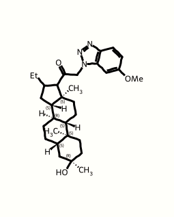 CCC1C[C@H]2[C@@H]3CC[C@H]4C[C@](C)(O)CC[C@]4(C)[C@H]3CC[C@]2(C)C1C(=O)Cn1nnc2ccc(OC)cc21